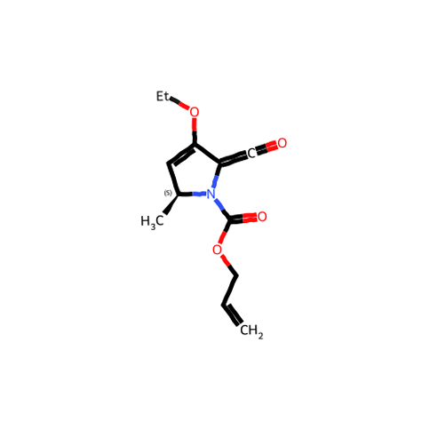 C=CCOC(=O)N1C(=C=O)C(OCC)=C[C@@H]1C